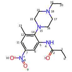 CCC(=O)Nc1cc([N+](=O)[O-])cc(C)c1N1CCN(CC)CC1